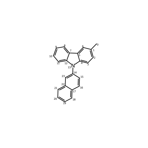 Cc1ccc2c(c1)c1ccccc1n2-c1ccc2ccccc2c1